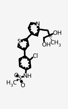 C[C@](O)(CO)Cc1cc(-c2cc(-c3ccc(NS(C)(=O)=O)cc3Cl)cs2)ccn1